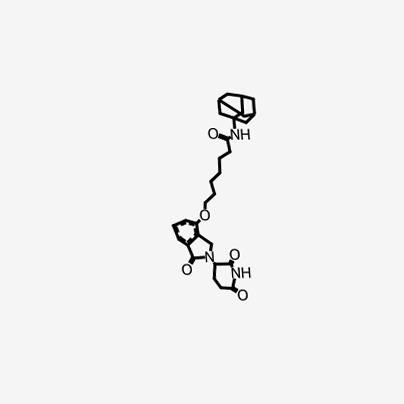 O=C1CCC(N2Cc3c(OCCCCCCC(=O)NC45CC6CC(CC(C6)C4)C5)cccc3C2=O)C(=O)N1